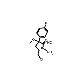 COC(CCCCl)(C(=O)NN)c1ccc(F)cc1.Cl